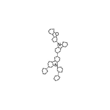 c1ccc(-c2cccc(-n3c4ccc(-c5ccc6c(c5)c5ccccc5n6-c5ccc6c(c5)oc5ccccc56)cc4c4ccc(-c5ccccc5)cc43)c2)cc1